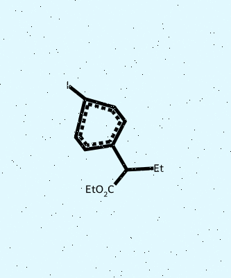 CCOC(=O)C(CC)c1ccc(I)cc1